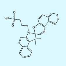 CC1(C)c2c(ccc3ccccc23)N(CCCS(=O)(=O)O)C12C=Nc1c(ccc3ccccc13)O2